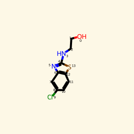 OCCNc1nc2cc(Cl)ccc2s1